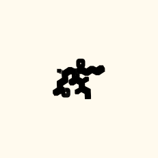 C=CCCC(=O)N(C[C@@H](C)CCC(C)=O)C(C)[C@@H](C)[C@H](C)CC